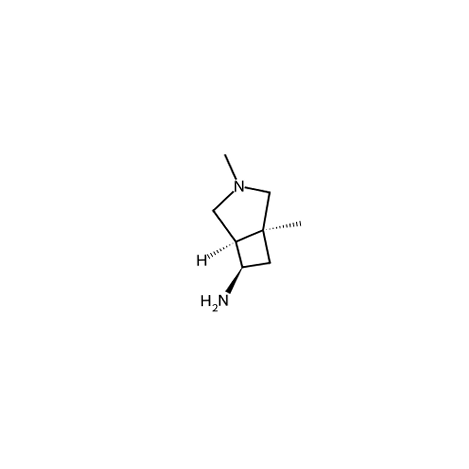 CN1C[C@@H]2[C@H](N)C[C@]2(C)C1